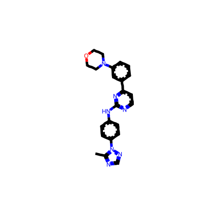 Cc1ncnn1-c1ccc(Nc2nccc(-c3cccc(N4CCOCC4)c3)n2)cc1